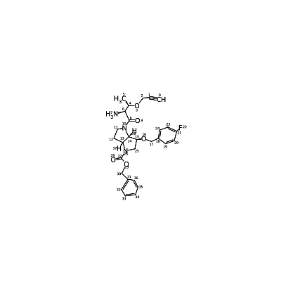 C#CCO[C@H](C)[C@H](N)C(=O)N1CC[C@@H]2[C@H]1[C@@H](OCc1ccc(F)cc1)CN2C(=O)OCc1ccccc1